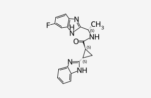 C[C@H](NC(=O)[C@H]1C[C@@H]1c1nc2ccccc2[nH]1)c1nc2ccc(F)cc2[nH]1